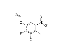 O=COc1cc([N+](=O)[O-])c(F)c(Cl)c1F